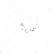 CC(C)(C)OC(=O)N(CC1CCC1)[C@@H]1CCCN(c2ccc(C(OS(C)(=O)=O)C(F)(F)F)nn2)C1